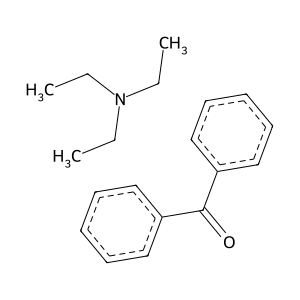 CCN(CC)CC.O=C(c1ccccc1)c1ccccc1